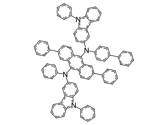 c1ccc(-c2ccc(N(c3ccc4c(c3)c3ccccc3n4-c3ccccc3)c3c4ccc(-c5ccccc5)cc4c(N(c4ccccc4)c4ccc5c(c4)c4ccccc4n5-c4ccccc4)c4ccc(-c5ccccc5)cc34)cc2)cc1